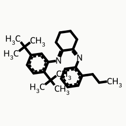 CCCc1ccccc1N=C1CCCCC1=Nc1cc(C(C)(C)C)ccc1C(C)(C)C